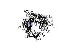 CCN[C@H]1C[C@H](CCCN(CC)CCNC(=O)c2c(C)[nH]c(/C=C3\C(=O)Nc4ccc(NC(=O)CCC(=O)O[C@@H](C)C(=O)O[C@@H](C)C(=O)O[C@@H](C)C(=O)O[C@@H](C)C(=O)O[C@@H](C)C(=O)O[C@@H](C)C(=O)O)cc43)c2C)S(=O)(=O)c2sc(S(N)(=O)=O)cc21